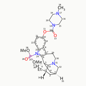 CC[C@H]1C[C@H]2C[C@H]3c4c(c5cc(OC(=O)N6CCN(C)CC6)ccc5n4P(=O)(OC)OC)CCN(C2)C13